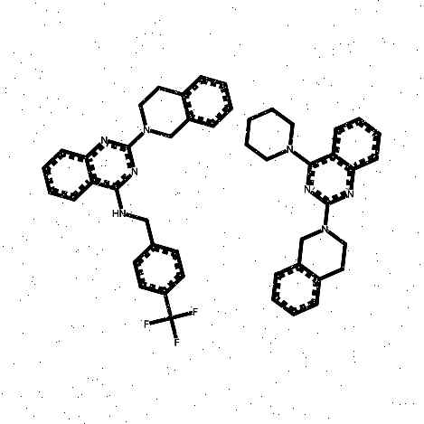 FC(F)(F)c1ccc(CNc2nc(N3CCc4ccccc4C3)nc3ccccc23)cc1.c1ccc2c(c1)CCN(c1nc(N3CCCCC3)c3ccccc3n1)C2